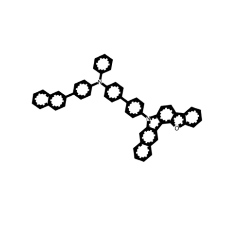 c1ccc(N(c2ccc(-c3ccc(-n4c5cc6ccccc6cc5c5c6oc7ccccc7c6ccc54)cc3)cc2)c2ccc(-c3ccc4ccccc4c3)cc2)cc1